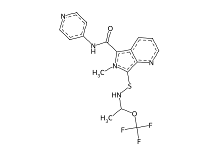 CC(NSc1c2ncccc2c(C(=O)Nc2ccncc2)n1C)OC(F)(F)F